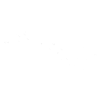 CNC(=O)c1cn(CCC(F)CN(N)/C=C(\N)C(=O)NCc2cccc(C(=O)OC)c2)nn1